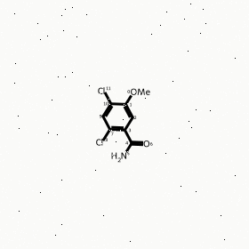 COc1cc(C(N)=O)c(Cl)cc1Cl